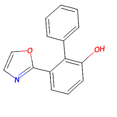 Oc1cccc(-c2ncco2)c1-c1ccccc1